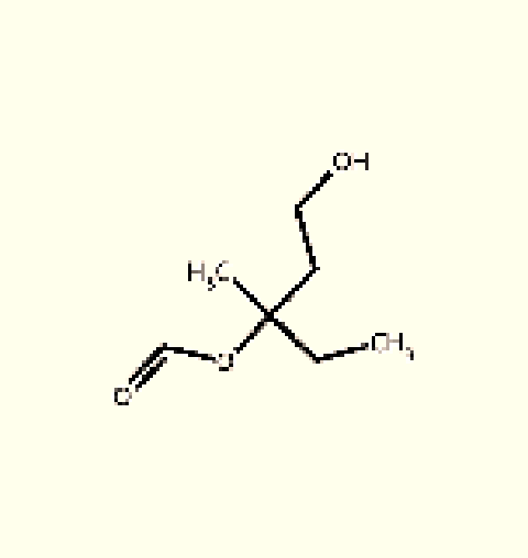 CCC(C)(CCO)OC=O